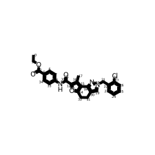 CCOC(=O)c1ccc(NC(=O)c2oc3c(c2C)-c2nn(Cc4ccccc4Cl)cc2CC3)cc1